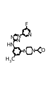 Cc1cc(Nc2ncn(-c3cncc(F)c3)n2)cc(N2CCN(C3COC3)CC2)c1